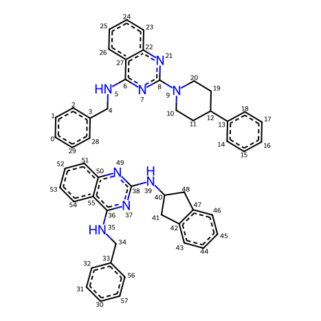 c1ccc(CNc2nc(N3CCC(c4ccccc4)CC3)nc3ccccc23)cc1.c1ccc(CNc2nc(NC3Cc4ccccc4C3)nc3ccccc23)cc1